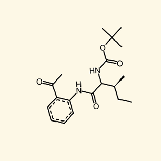 CC[C@H](C)C(NC(=O)OC(C)(C)C)C(=O)Nc1ccccc1C(C)=O